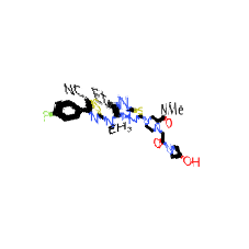 CCc1nc2sc(N3CCN(CC(=O)N4CC(O)C4)C(C(=O)NC)C3)nn2c1N(C)c1nc(-c2ccc(F)cc2)c(C#N)s1